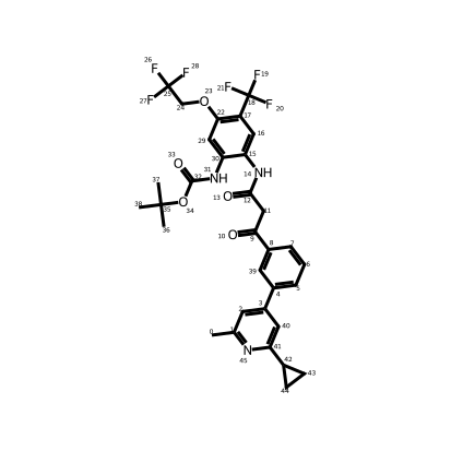 Cc1cc(-c2cccc(C(=O)CC(=O)Nc3cc(C(F)(F)F)c(OCC(F)(F)F)cc3NC(=O)OC(C)(C)C)c2)cc(C2CC2)n1